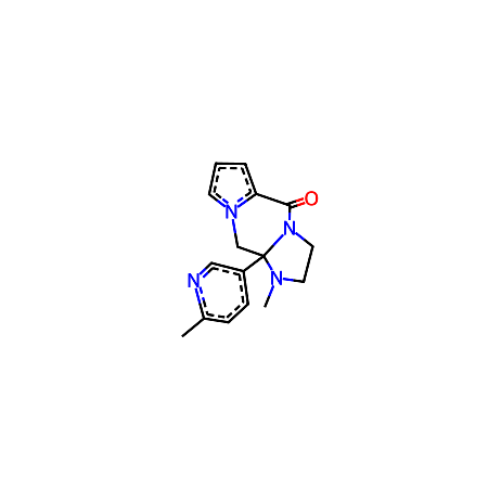 Cc1ccc(C23Cn4cccc4C(=O)N2CCN3C)cn1